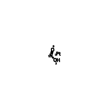 O=NO.[Pt]